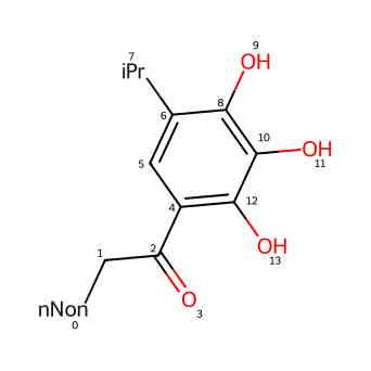 CCCCCCCCCCC(=O)c1cc(C(C)C)c(O)c(O)c1O